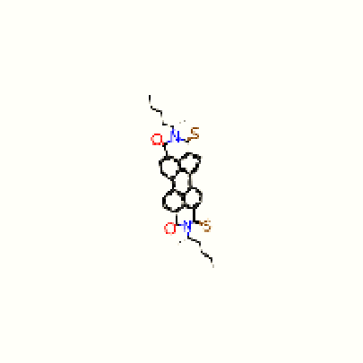 CCCC[C@H](C)N1C(=O)c2ccc3c4ccc5c6c(ccc(c7ccc(c2c37)C1=S)c64)C(=S)N([C@@H](C)CCCC)C5=O